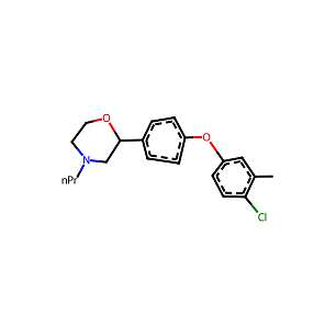 CCCN1CCOC(c2ccc(Oc3ccc(Cl)c(C)c3)cc2)C1